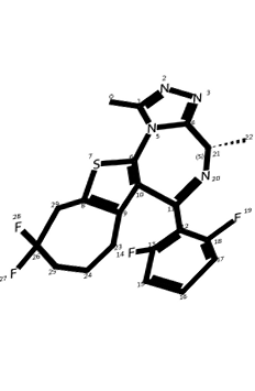 Cc1nnc2n1-c1sc3c(c1C(c1c(F)cccc1F)=N[C@H]2C)CCCC(F)(F)C3